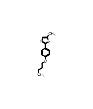 CCCCOc1ccc(-c2ncc(C)s2)cc1